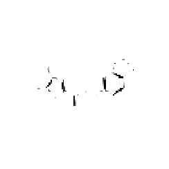 Cc1sc(C(=O)OCc2ccc3c(c2)OCO3)cc1[N+](=O)[O-]